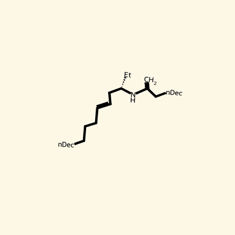 C=C(CCCCCCCCCCC)N[C@@H](CC)C/C=C/CCCCCCCCCCCCC